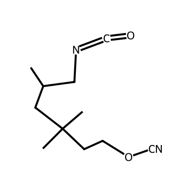 CC(CN=C=O)CC(C)(C)CCOC#N